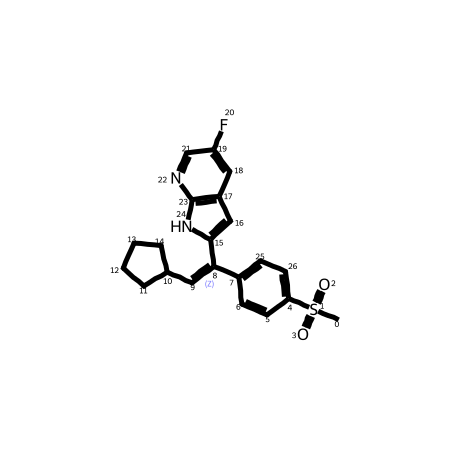 CS(=O)(=O)c1ccc(/C(=C/C2CCCC2)c2cc3cc(F)cnc3[nH]2)cc1